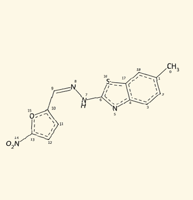 Cc1ccc2nc(N/N=C\c3ccc([N+](=O)[O-])o3)sc2c1